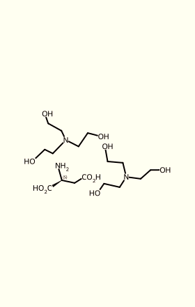 N[C@@H](CC(=O)O)C(=O)O.OCCN(CCO)CCO.OCCN(CCO)CCO